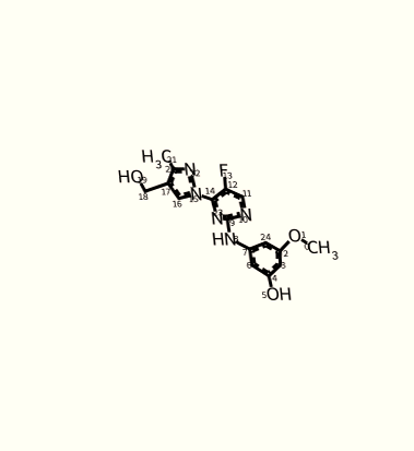 COc1cc(O)cc(Nc2ncc(F)c(-n3cc(CO)c(C)n3)n2)c1